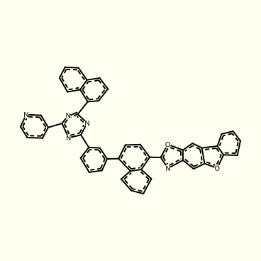 c1cncc(-c2nc(-c3cccc(-c4ccc(-c5nc6cc7oc8ccccc8c7cc6o5)c5ccccc45)c3)nc(-c3cccc4ccccc34)n2)c1